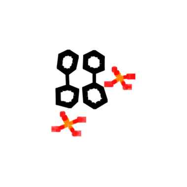 O=P(O)(O)O.O=P(O)(O)O.c1ccc(-c2ccccc2)cc1.c1ccc(-c2ccccc2)cc1